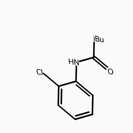 CCC(C)C(=O)Nc1ccccc1Cl